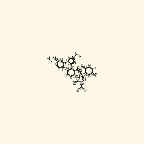 CCn1cc(-c2ccnc(N)n2)c(-c2c(F)ccc(N(C(=O)OC(C)C)S(=O)(=O)c3cc(F)ccc3F)c2F)n1